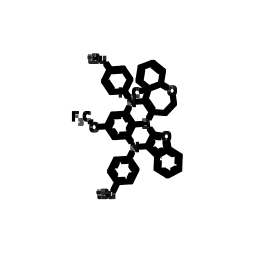 CC(C)(C)C1=CCC(N2C3=C(CCOC4C=CC=CC34C)B3c4oc5ccccc5c4N(c4ccc(C(C)(C)C)cc4)c4cc(OC(F)(F)F)cc2c43)C=C1